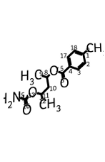 Cc1ccc(C(=O)OC(C)CC(C)OC(N)=O)cc1